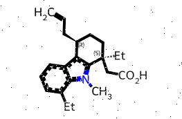 C=CC[C@H]1CC[C@@](CC)(CC(=O)O)c2c1c1cccc(CC)c1n2C